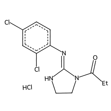 CCC(=O)N1CCN/C1=N\c1ccc(Cl)cc1Cl.Cl